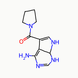 NC1=C2C(C(=O)N3CCCC3)=CNC2NC=N1